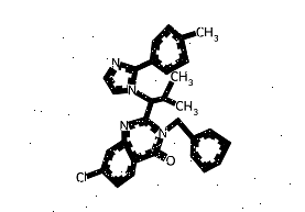 Cc1ccc(-c2nccn2C(c2nc3cc(Cl)ccc3c(=O)n2Cc2ccccc2)C(C)C)cc1